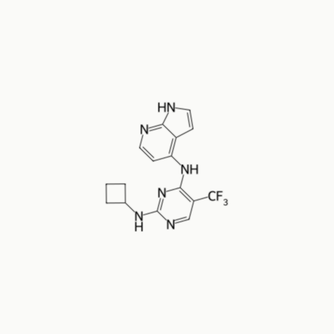 FC(F)(F)c1cnc(NC2CCC2)nc1Nc1ccnc2[nH]ccc12